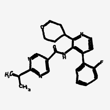 CC(C)c1ncc(C(=O)Nc2c(-c3ccccc3F)ccnc2C2CCOCC2)cn1